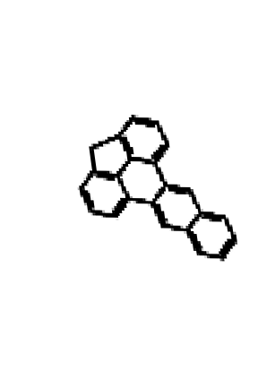 c1ccc2cc3c(cc2c1)c1cccc2c1c1c(cccc31)C2